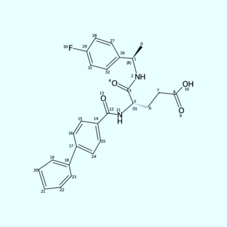 C[C@@H](NC(=O)[C@H](CCC(=O)O)NC(=O)c1ccc(-c2ccccc2)cc1)c1ccc(F)cc1